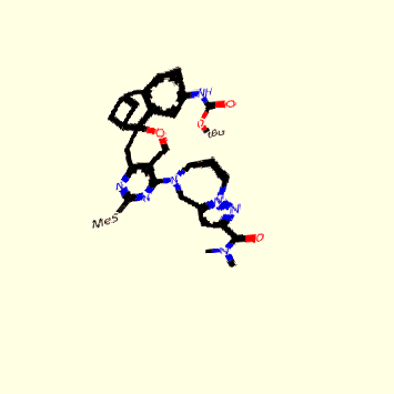 CSc1nc2c(c(N3CCCn4nc(C(=O)N(C)C)cc4C3)n1)COC1(C2)c2cc(NC(=O)OC(C)(C)C)ccc2C2CC1C2